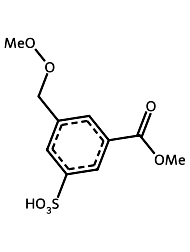 COOCc1cc(C(=O)OC)cc(S(=O)(=O)O)c1